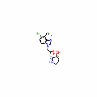 Cc1c(Br)ccc2c1ncn2CC(O)C[C@H]1NCCC[C@@H]1O